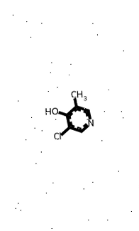 Cc1cncc(Cl)c1O